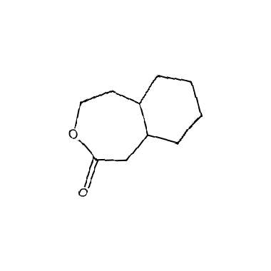 O=C1CC2CCCCC2CCO1